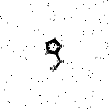 NNc1ncco1